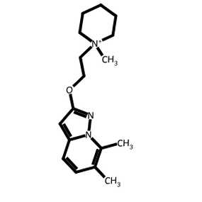 Cc1ccc2cc(OCC[N+]3(C)CCCCC3)nn2c1C